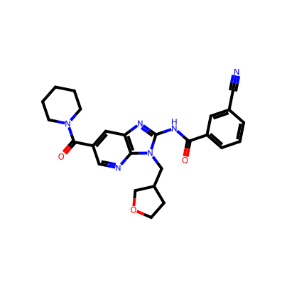 N#Cc1cccc(C(=O)Nc2nc3cc(C(=O)N4CCCCC4)cnc3n2CC2CCOC2)c1